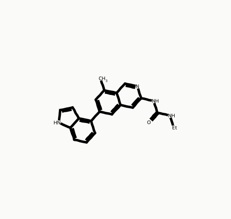 CCNC(=O)Nc1cc2cc(-c3cccc4[nH]ccc34)cc(C)c2cn1